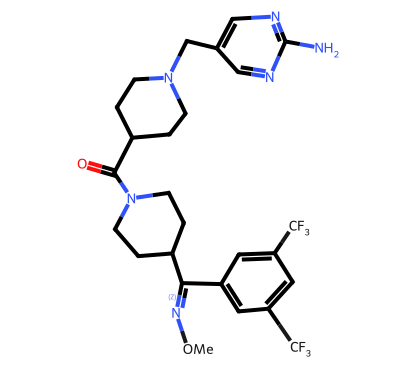 CO/N=C(\c1cc(C(F)(F)F)cc(C(F)(F)F)c1)C1CCN(C(=O)C2CCN(Cc3cnc(N)nc3)CC2)CC1